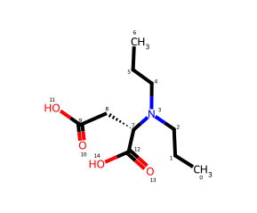 CCCN(CCC)[C@@H](CC(=O)O)C(=O)O